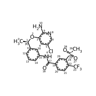 C[C@@H](Oc1cc(Cl)cnc1N)c1cccc(NC(=O)c2ccc(C(F)(F)F)c(S(C)(=O)=O)c2)c1